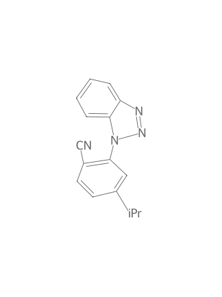 CC(C)c1ccc(C#N)c(-n2nnc3ccccc32)c1